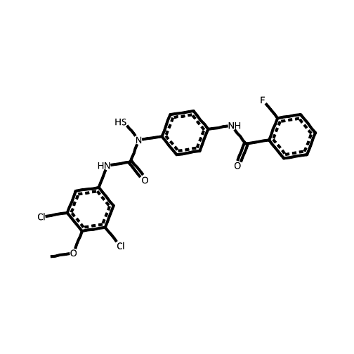 COc1c(Cl)cc(NC(=O)N(S)c2ccc(NC(=O)c3ccccc3F)cc2)cc1Cl